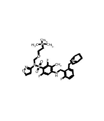 Cc1c(NCc2c(F)cccc2CN2C3CCC2CC3)cc(F)c(S(=O)(=O)N(COCC[Si](C)(C)C)c2ccon2)c1F